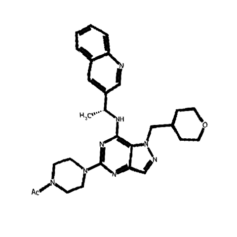 CC(=O)N1CCN(c2nc(N[C@H](C)c3cnc4ccccc4c3)c3c(cnn3CC3CCOCC3)n2)CC1